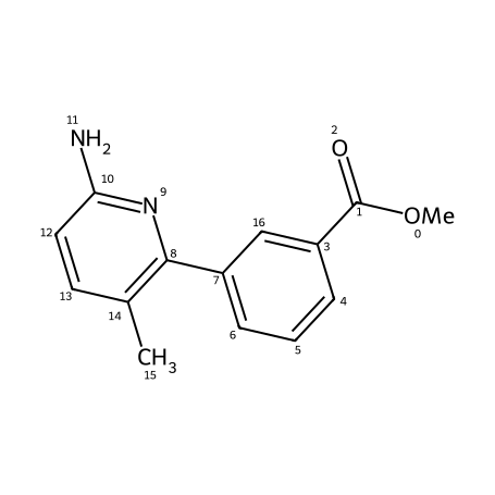 COC(=O)c1cccc(-c2nc(N)ccc2C)c1